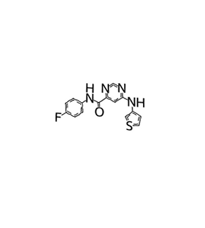 O=C(Nc1ccc(F)cc1)c1cc(Nc2ccsc2)ncn1